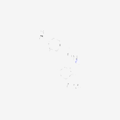 COc1cccc(/[C]=N\OCc2ccc(OC(F)(F)F)cc2)c1